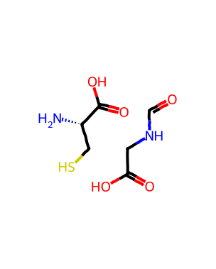 N[C@@H](CS)C(=O)O.O=CNCC(=O)O